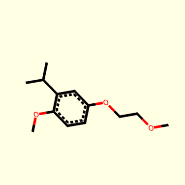 COCCOc1ccc(OC)c(C(C)C)c1